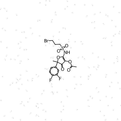 CC(=O)OC1=C(NS(=O)(=O)CCCBr)OC(C)(c2ccc(F)c(F)c2)C1=O